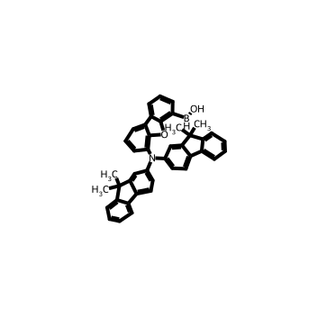 CC1(C)c2ccccc2-c2ccc(N(c3ccc4c(c3)C(C)(C)c3ccccc3-4)c3cccc4c3oc3c(BO)cccc34)cc21